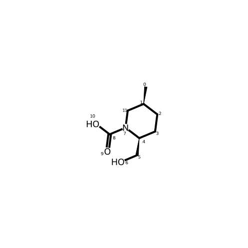 C[C@H]1CC[C@@H](CO)N(C(=O)O)C1